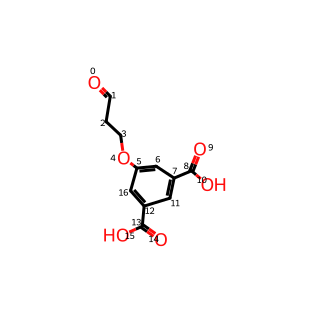 O=CCCOc1cc(C(=O)O)cc(C(=O)O)c1